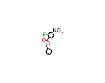 O=C(OCc1ccccc1)c1ccc([N+](=O)[O-])cc1F